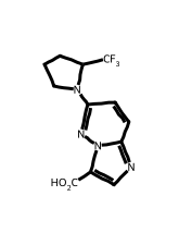 O=C(O)c1cnc2ccc(N3CCCC3C(F)(F)F)nn12